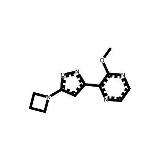 COc1nccnc1-c1cc(N2CCC2)on1